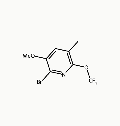 COc1cc(C)c(OC(F)(F)F)nc1Br